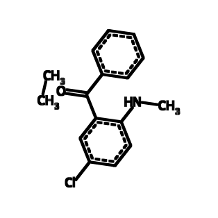 CC.CNc1ccc(Cl)cc1C(=O)c1ccccc1